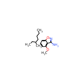 CCCCC(C)CC.COc1cccc2onc(N)c12